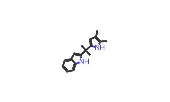 Cc1cc(C(C)(C)c2cc3ccccc3[nH]2)[nH]c1C